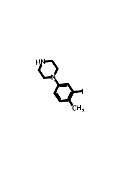 Cc1ccc(N2CCNCC2)cc1I